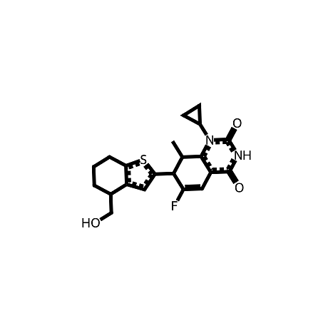 CC1c2c(c(=O)[nH]c(=O)n2C2CC2)C=C(F)C1c1cc2c(s1)CCCC2CO